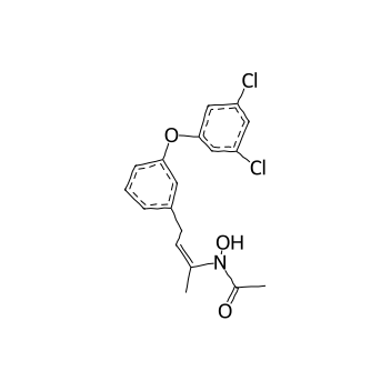 CC(=O)N(O)C(C)=CCc1cccc(Oc2cc(Cl)cc(Cl)c2)c1